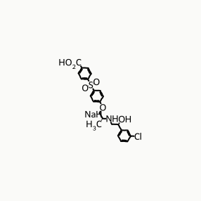 C[C@H](COc1ccc(S(=O)(=O)c2ccc(C(=O)O)cc2)cc1)NC[C@@H](O)c1cccc(Cl)c1.[NaH]